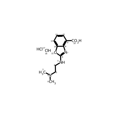 CN(C)CCNc1nc2c(C(=O)O)cccc2o1.Cl.Cl